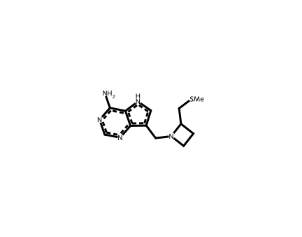 CSCC1CCN1Cc1c[nH]c2c(N)ncnc12